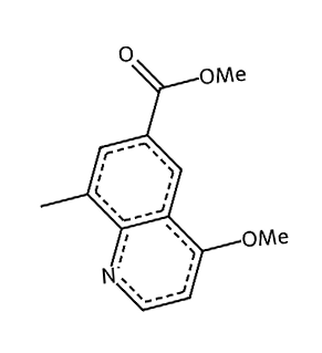 COC(=O)c1cc(C)c2nccc(OC)c2c1